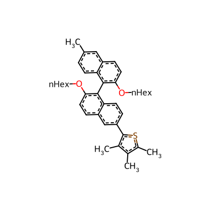 CCCCCCOc1ccc2cc(C)ccc2c1-c1c(OCCCCCC)ccc2cc(-c3sc(C)c(C)c3C)ccc12